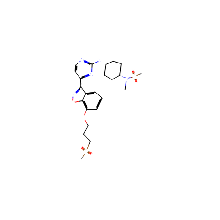 CN([C@H]1CC[C@H](Nc2nccc(-c3noc4c(OCCCS(C)(=O)=O)cccc34)n2)CC1)S(C)(=O)=O